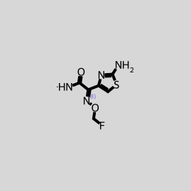 [NH]C(=O)/C(=N/OCF)c1csc(N)n1